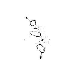 C#Cc1ccc(NC(=S)Nc2cc(N)cc(NC(=S)Nc3ccc(C#C)cc3)c2)cc1